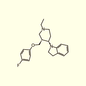 CCN1CC[C@@H](N2CCc3ccccc32)[C@@H](COc2ccc(F)cc2)C1